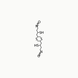 O=C=NCCC(S)CC1CSC(CC(S)CCN=C=O)CS1